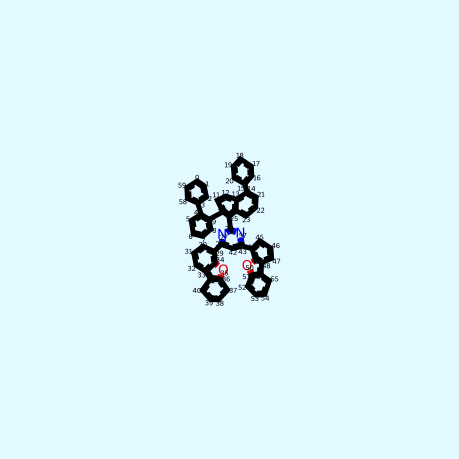 c1ccc(-c2ccccc2-c2ccc3c(-c4ccccc4)cccc3c2-c2nc(-c3cccc4c3oc3ccccc34)cc(-c3cccc4c3oc3ccccc34)n2)cc1